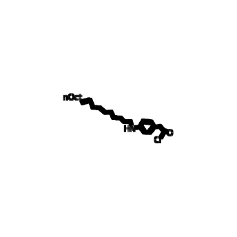 CCCCCCCCC=CCCCCCCCCNc1ccc(CC(=O)Cl)cc1